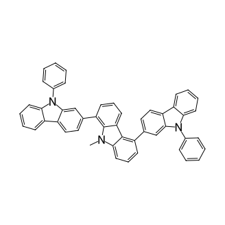 Cn1c2cccc(-c3ccc4c5ccccc5n(-c5ccccc5)c4c3)c2c2cccc(-c3ccc4c5ccccc5n(-c5ccccc5)c4c3)c21